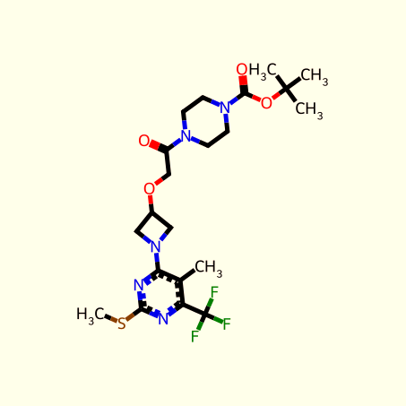 CSc1nc(N2CC(OCC(=O)N3CCN(C(=O)OC(C)(C)C)CC3)C2)c(C)c(C(F)(F)F)n1